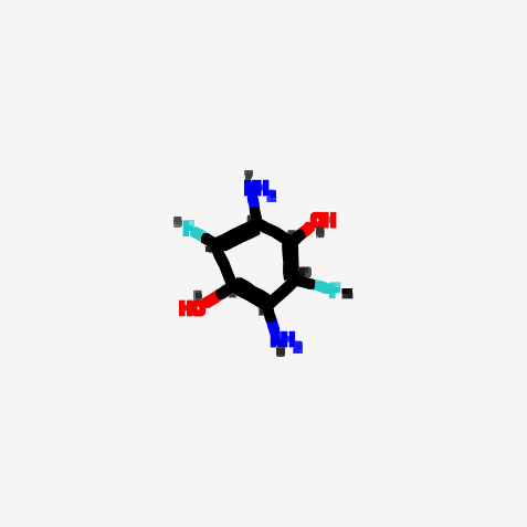 Nc1c(O)c(F)c(N)c(O)c1F